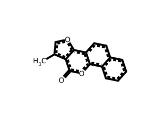 Cc1coc2c1c(=O)oc1c3ccccc3ccc21